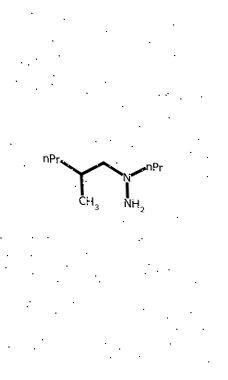 CCCC(C)CN(N)CCC